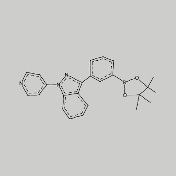 CC1(C)OB(c2cccc(-c3nn(-c4ccncc4)c4ccccc34)c2)OC1(C)C